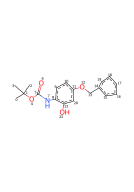 CC(C)(C)OC(=O)Nc1ccc(OCc2ccccc2)cc1O